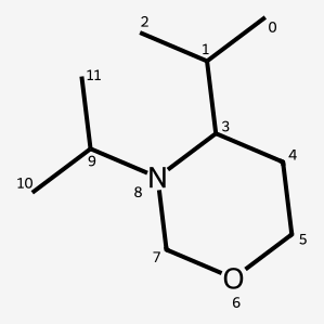 CC(C)C1CCOCN1C(C)C